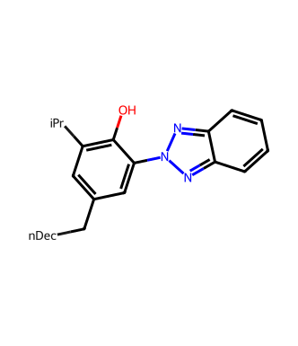 CCCCCCCCCCCc1cc(C(C)C)c(O)c(-n2nc3ccccc3n2)c1